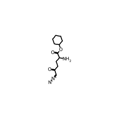 [N-]=[N+]=CC(=O)CCC(N)C(=O)OC1CCCCC1